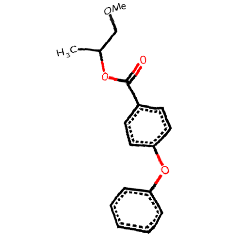 COCC(C)OC(=O)c1ccc(Oc2ccccc2)cc1